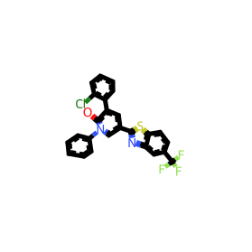 O=c1c(-c2ccccc2Cl)cc(-c2nc3cc(C(F)(F)F)ccc3s2)cn1-c1ccccc1